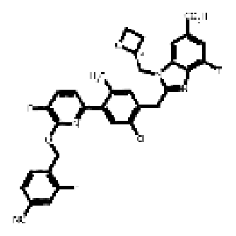 Cc1cc(Cc2nc3c(F)cc(C(=O)O)cc3n2C[C@@H]2CCO2)c(Cl)cc1-c1ccc(F)c(OCc2ccc(C#N)cc2F)n1